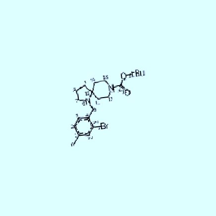 Cc1ccc(CN2CCCC23CCN(C(=O)OC(C)(C)C)CC3)c(Br)c1